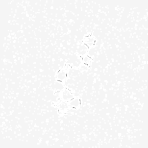 Cn1c(CNc2cccc(C(=O)N[C@H](C#N)c3ccccc3C(F)(F)F)c2)nnc1-c1ccncn1